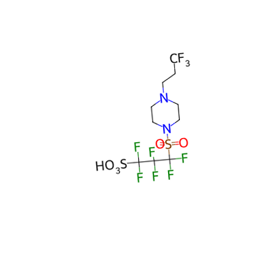 O=S(=O)(O)C(F)(F)C(F)(F)C(F)(F)S(=O)(=O)N1CCN(CCC(F)(F)F)CC1